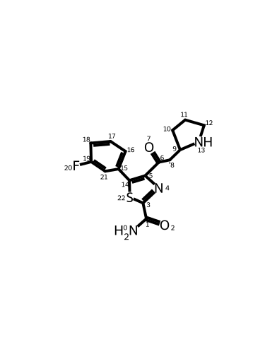 NC(=O)c1nc(C(=O)[CH]C2CCCN2)c(-c2cccc(F)c2)s1